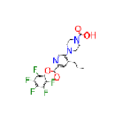 CCCc1cc(C(=O)Oc2c(F)c(F)c(F)c(F)c2F)ncc1N1CCN(C(=O)O)CC1